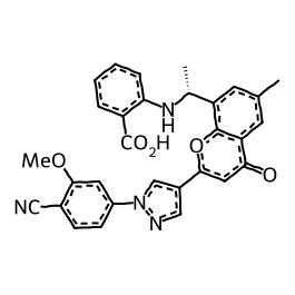 COc1cc(-n2cc(-c3cc(=O)c4cc(C)cc([C@@H](C)Nc5ccccc5C(=O)O)c4o3)cn2)ccc1C#N